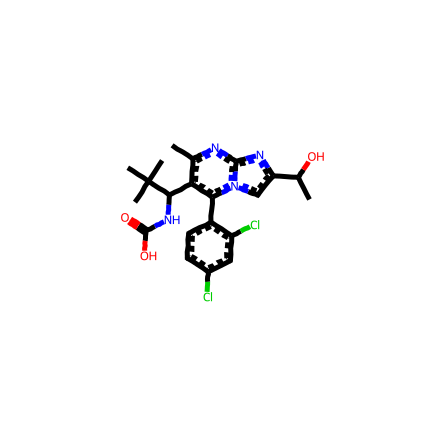 Cc1nc2nc(C(C)O)cn2c(-c2ccc(Cl)cc2Cl)c1C(NC(=O)O)C(C)(C)C